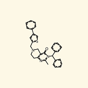 Cc1nc2c(c(=O)n1C(c1ccccc1)c1ccccc1)CN(Cc1cc(-c3ccccc3)cs1)CC2